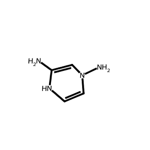 NC1=CN(N)C=CN1